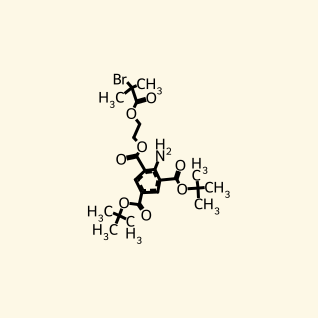 CC(C)(C)OC(=O)c1cc(C(=O)OCCOC(=O)C(C)(C)Br)c(N)c(C(=O)OC(C)(C)C)c1